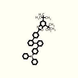 CC(C)(C)c1cc(C(C)(C)C)c2oc(-c3ccc(-c4ccccc4-c4ccccc4-c4ccc(N(c5ccccc5)c5ccccc5)cc4)cc3)nc2c1